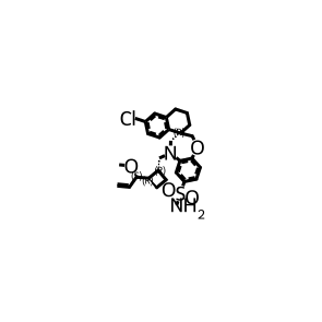 C=C[C@H](OC)[C@@H]1CC[C@H]1CN1C[C@]2(CCCc3cc(Cl)ccc32)COc2ccc(S(N)(=O)=O)cc21